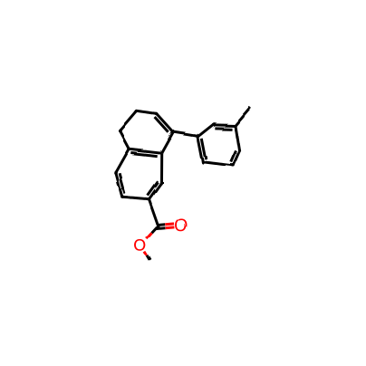 COC(=O)c1ccc2c(c1)C(c1cccc(C)c1)=CCC2